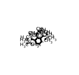 [CH3][Bi]([CH3])[S]c1c(C([Si](C)(C)C)[Si](C)(C)C)cccc1C([Si](C)(C)C)[Si](C)(C)C